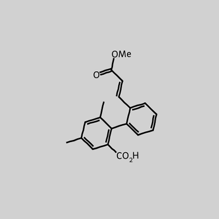 COC(=O)C=Cc1ccccc1-c1c(C)cc(C)cc1C(=O)O